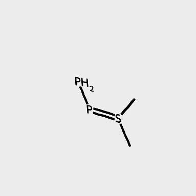 CS(C)=PP